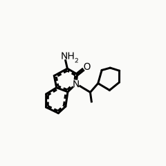 CC(C1CCCCC1)n1c(=O)c(N)cc2ccccc21